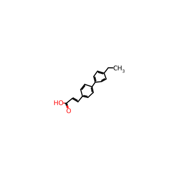 CCc1ccc(-c2ccc(C=CC(=O)O)cc2)cc1